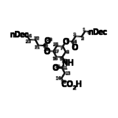 CCCCCCCCCCCCCC(=O)OC1CC(NC(=O)CCC(=O)O)CC(OC(=O)CCCCCCCCCCCCC)C1